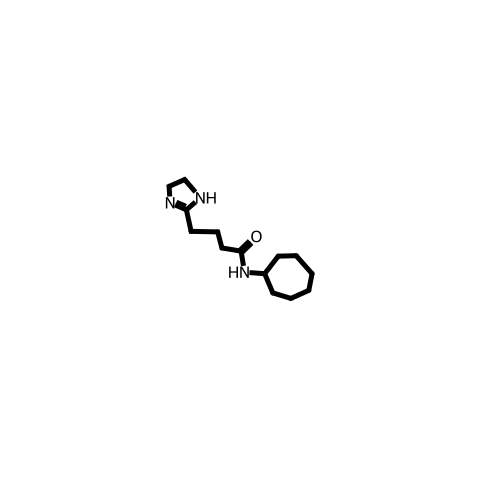 O=C(CCCC1=NCCN1)NC1CCCCCC1